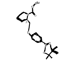 CC(C)(C)OC(=O)N1CCC[C@@H]1COc1ccc(B2OC(C)(C)C(C)(C)O2)cc1